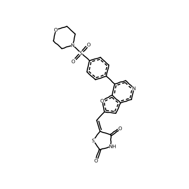 O=C1NC(=O)/C(=C\c2cc3cncc(-c4ccc(S(=O)(=O)N5CCOCC5)cc4)c3o2)S1